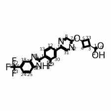 O=C(O)[C@H]1C[C@@H](Oc2cnc(-c3ccc(-c4nc5cc(C(F)(F)F)ccc5[nH]4)c(F)c3)cn2)C1